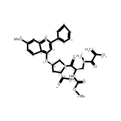 C=C(C(=O)N(C)C[C@@H](NC(=O)OC(C)(C)C)C(=O)N1C[C@H](Oc2cc(-c3ccccc3)nc3cc(OC)ccc23)C[C@H]1C(N)=O)C(F)(F)F